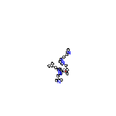 CC1(Cc2cc3ccc(-c4ccc(-c5cc6ccccc6c6ccccc56)cc4)nc3c3nc(-c4cccc(-c5c6ccccc6nc6ccccc56)c4)ccc23)c2ccccc2-c2ccc(-c3cccc(-c4ccc5ccc6ccc(-c7ccc(-c8ccc9nc%10ccccc%10cc9c8)cc7)nc6c5n4)c3)cc21